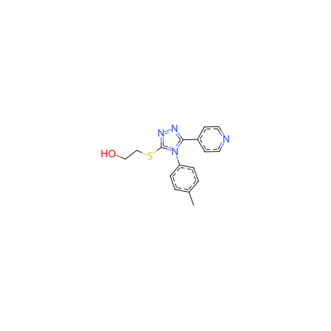 Cc1ccc(-n2c(SCCO)nnc2-c2ccncc2)cc1